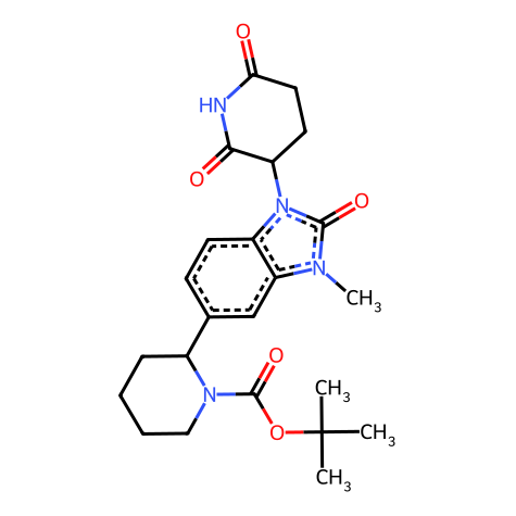 Cn1c(=O)n(C2CCC(=O)NC2=O)c2ccc(C3CCCCN3C(=O)OC(C)(C)C)cc21